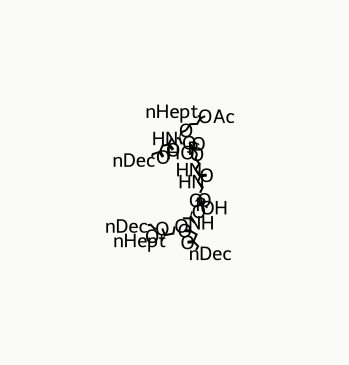 CCCCCCCCCCCC(=O)CC(=O)N[C@@H](COCC[C@@H](CCCCCCC)OC(C)=O)COP(=O)(O)OCCNC(=O)NCCOP(=O)(O)OC[C@H](COCC[C@@H](CCCCCCC)OC(=O)CCCCCCCCCCC)NC(=O)CC(=O)CCCCCCCCCCC